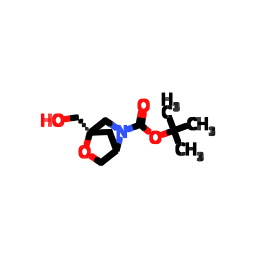 CC(C)(C)OC(=O)N1C[C@@]2(CO)CC1CO2